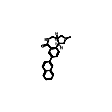 CN1C[C@H]2CNC(=O)c3cc(-c4ccc5ccccc5c4)ccc3[C@@H]2C1